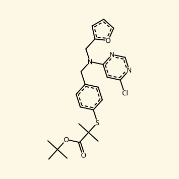 CC(C)(C)OC(=O)C(C)(C)Sc1ccc(CN(Cc2ccco2)c2cc(Cl)ncn2)cc1